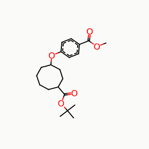 COC(=O)c1ccc(OC2CCCCC(C(=O)OC(C)(C)C)CC2)cc1